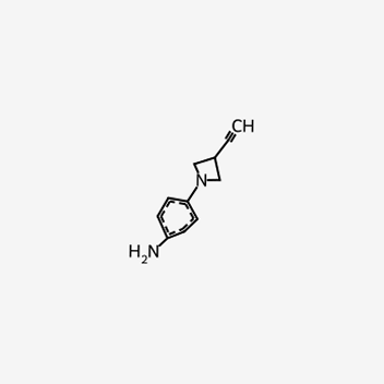 C#CC1CN(c2ccc(N)cc2)C1